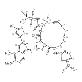 COc1ccc2c(O[C@@H]3C[C@H]4C(=O)N[C@]5(C(=O)NS(=O)(=O)C6(C)CC6)C[C@H]5/C=C\CCCCC[C@H](Nc5cccc(C(N)=O)c5)C(=O)N4C3)cc(-c3nc(C(C)C)cs3)nc2c1C